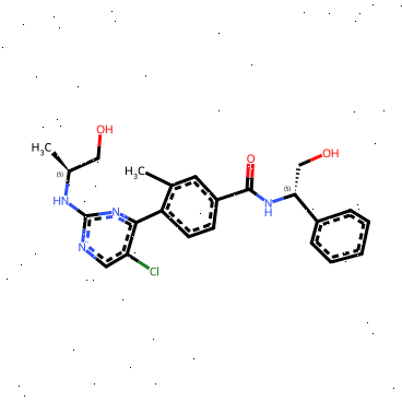 Cc1cc(C(=O)N[C@H](CO)c2ccccc2)ccc1-c1nc(N[C@@H](C)CO)ncc1Cl